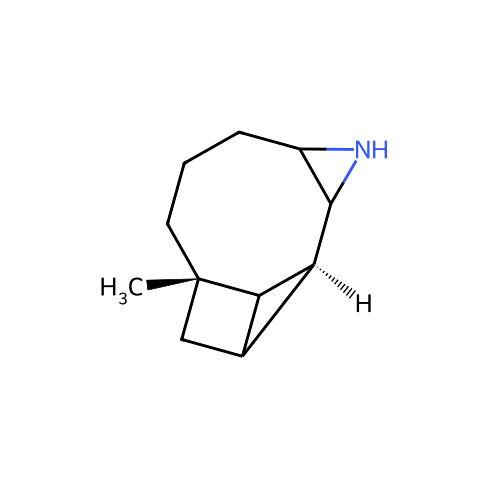 C[C@]12CCCC3NC3[C@H]3C(C1)C32